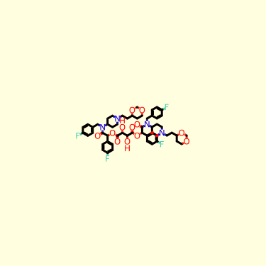 O=C(OC(C(=O)N(Cc1ccc(F)cc1)C1CCN(CCC2CCOCO2)CC1)c1ccc(F)cc1)C(O)C(O)C(=O)OC(C(=O)N(Cc1ccc(F)cc1)C1CCN(CCC2CCOCO2)CC1)c1ccc(F)cc1